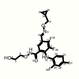 O=C(NOCCO)c1cc(C=NOCC2CC2)c(F)c(F)c1Nc1ccc(I)cc1F